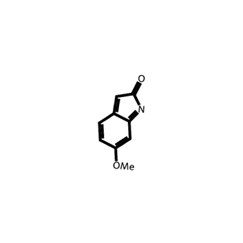 COc1ccc2c(c1)=NC(=O)C=2